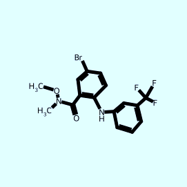 CON(C)C(=O)c1cc(Br)ccc1Nc1cccc(C(F)(F)F)c1